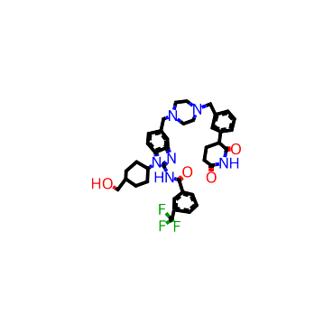 O=C1CCC(c2cccc(CN3CCN(Cc4ccc5c(c4)nc(NC(=O)c4cccc(C(F)(F)F)c4)n5C4CCC(CO)CC4)CC3)c2)C(=O)N1